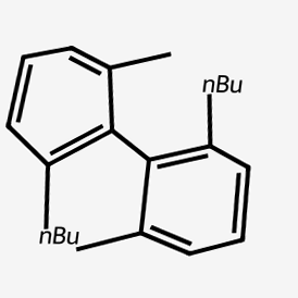 CCCCc1cccc(C)c1-c1c(C)cccc1CCCC